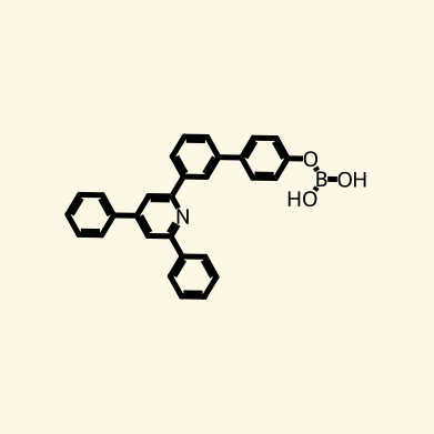 OB(O)Oc1ccc(-c2cccc(-c3cc(-c4ccccc4)cc(-c4ccccc4)n3)c2)cc1